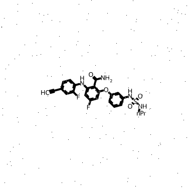 C#Cc1ccc(Nc2cc(F)cc(Oc3cccc(NS(=O)(=O)NCCC)c3)c2C(N)=O)c(F)c1